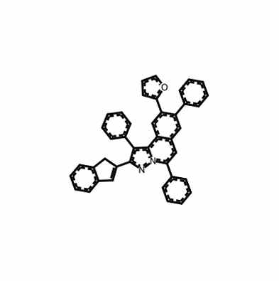 C1=C(c2nn3c(-c4ccccc4)cc4cc(-c5ccccc5)c(-c5ccco5)cc4c3c2-c2ccccc2)Cc2ccccc21